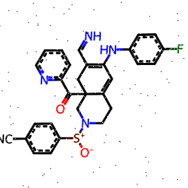 N#Cc1ccc([S+]([O-])N2CCC3=CC(Nc4ccc(F)cc4)=C(C=N)CC3(C(=O)c3ccccn3)C2)cc1